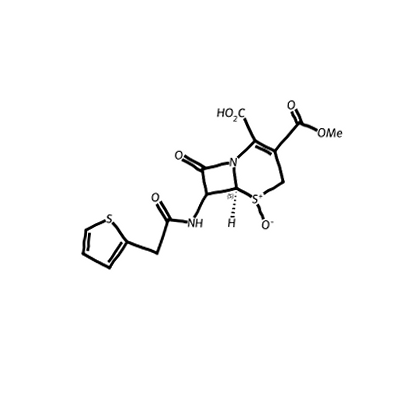 COC(=O)C1=C(C(=O)O)N2C(=O)C(NC(=O)Cc3cccs3)[C@@H]2[S+]([O-])C1